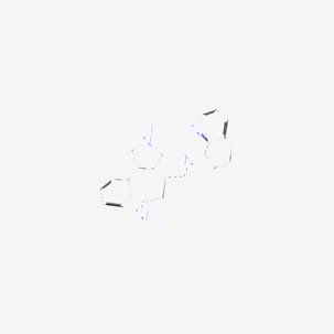 NCCCCN(C[C@@H]1CC(C2C=CC=CC2)CN1)[C@H]1CCCc2cccnc21